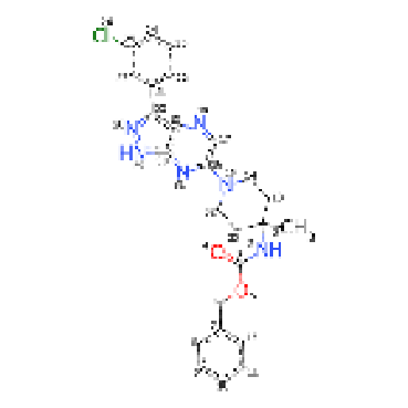 CC1(NC(=O)OCc2ccccc2)CCN(c2cnc3c(-c4cccc(Cl)c4)n[nH]c3n2)CC1